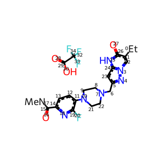 CCc1cn2nc(CN3CCN(c4ccc(C(=O)NC)nc4F)CC3)cc2[nH]c1=O.O=C(O)C(F)(F)F